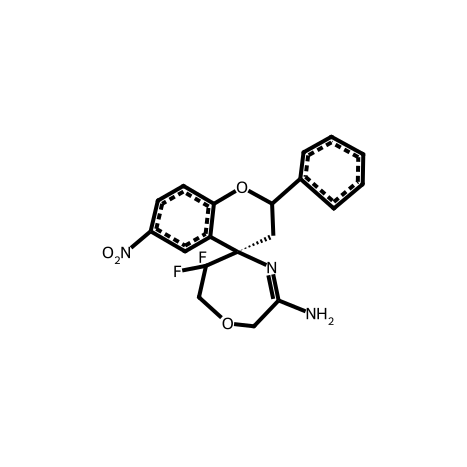 NC1=N[C@@]2(CC(c3ccccc3)Oc3ccc([N+](=O)[O-])cc32)C(F)(F)COC1